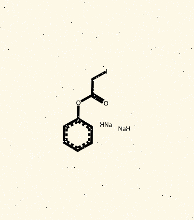 O=C(CI)Oc1ccccc1.[NaH].[NaH]